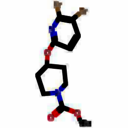 CC(C)(C)OC(=O)N1CCC(Oc2ccc(Br)c(Br)n2)CC1